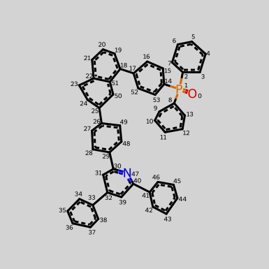 O=P(c1ccccc1)(c1ccccc1)c1ccc(-c2cccc3ccc(-c4ccc(-c5cc(-c6ccccc6)cc(-c6ccccc6)n5)cc4)cc23)cc1